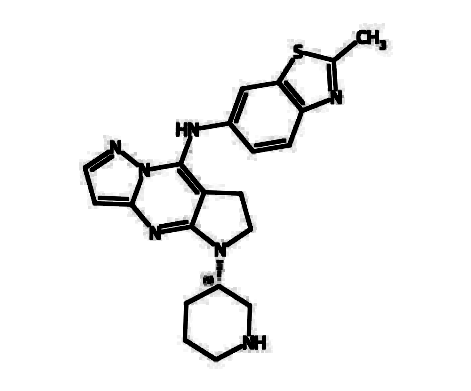 Cc1nc2ccc(Nc3c4c(nc5ccnn35)N([C@H]3CCCNC3)CC4)cc2s1